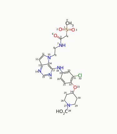 CS(=O)(=O)CC(=O)NCCn1ccc2ncnc(Nc3ccc(OC4CCN(C(=O)O)CC4)c(Cl)c3)c21